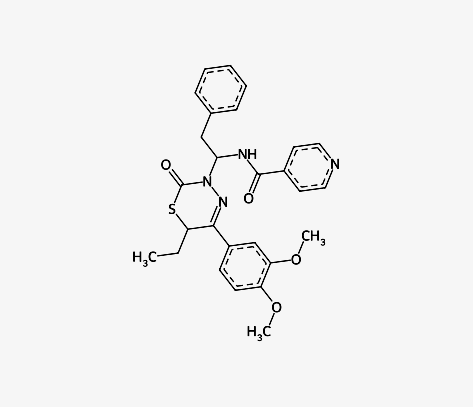 CCC1SC(=O)N(C(Cc2ccccc2)NC(=O)c2ccncc2)N=C1c1ccc(OC)c(OC)c1